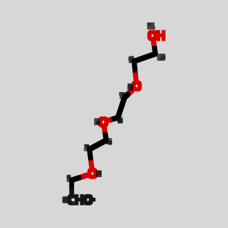 O=[C]COCCOCCOCCO